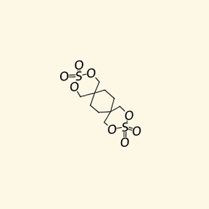 O=S1(=O)OCC2(CCC3(CC2)COS(=O)(=O)OC3)CO1